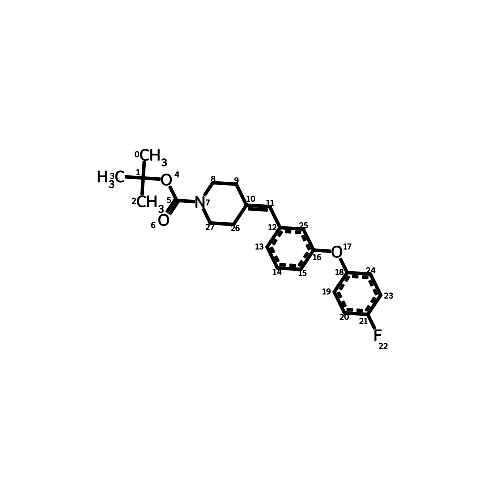 CC(C)(C)OC(=O)N1CCC(=Cc2cccc(Oc3ccc(F)cc3)c2)CC1